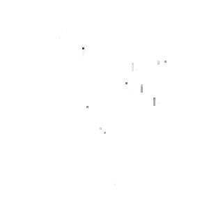 O=c1n(Cc2ccc(C(F)(F)F)nc2)nc2c(-c3cnccn3)c(-c3ccc(Cl)cc3)cnn12